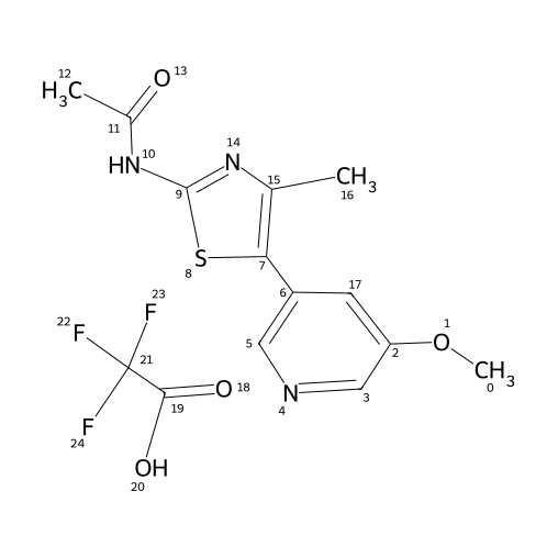 COc1cncc(-c2sc(NC(C)=O)nc2C)c1.O=C(O)C(F)(F)F